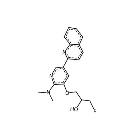 CN(C)c1ncc(-c2ccc3ccccc3n2)cc1OCC(O)CF